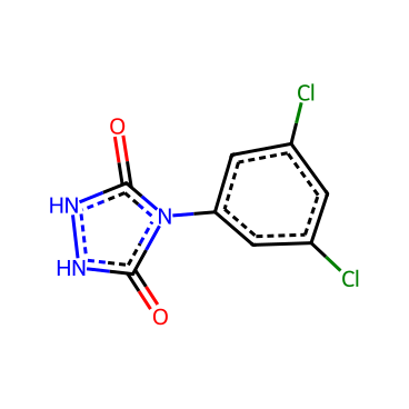 O=c1[nH][nH]c(=O)n1-c1cc(Cl)cc(Cl)c1